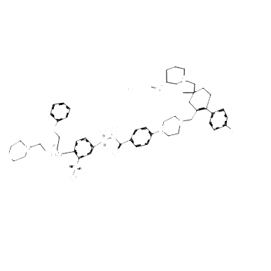 CC1(CN2CCC[C@H](NC(=O)O)C2)CCC(c2ccc(Cl)cc2)=C(CN2CCN(c3ccc(C(=O)NS(=O)(=O)c4ccc(N[C@H](CCN5CCOCC5)CSc5ccccc5)c(S(=O)(=O)C(F)(F)F)c4)cc3)CC2)C1